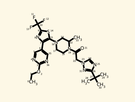 CCOc1ncc(-c2nc(C(F)(F)F)sc2N2CCN(C(=O)Cn3cnc(C(C)(C)C)n3)C(C)C2)cn1